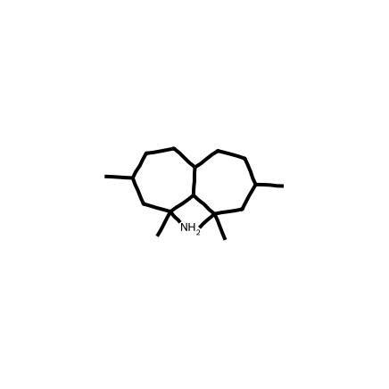 CC1CCC2CCC(C)CC(C)(N)C2C(C)(C)C1